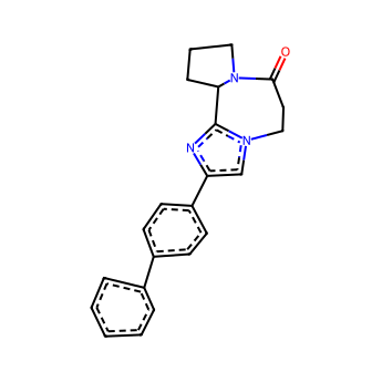 O=C1CCn2cc(-c3ccc(-c4ccccc4)cc3)nc2C2CCCN12